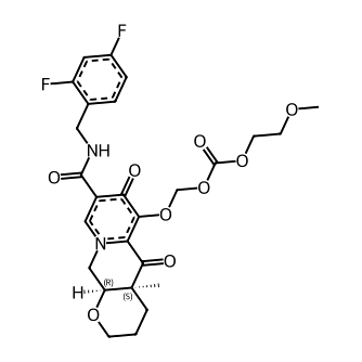 COCCOC(=O)OCOc1c2n(cc(C(=O)NCc3ccc(F)cc3F)c1=O)C[C@@H]1OCCC[C@]1(C)C2=O